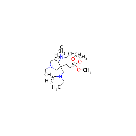 CCN(CC)CC(CC[Si](OC)(OC)OC)(CN(CC)CC)CN(CC)CC